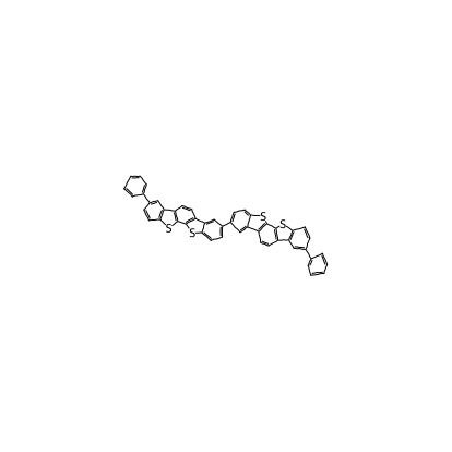 c1ccc(-c2ccc3sc4c(ccc5c6cc(-c7ccc8sc9c(ccc%10c%11cc(-c%12ccccc%12)ccc%11sc%109)c8c7)ccc6sc54)c3c2)cc1